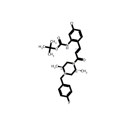 C[C@@H]1CN(Cc2ccc(F)cc2)[C@@H](C)CN1C(=O)/C=C/c1ccc(Cl)cc1NC(=O)OC(C)(C)C